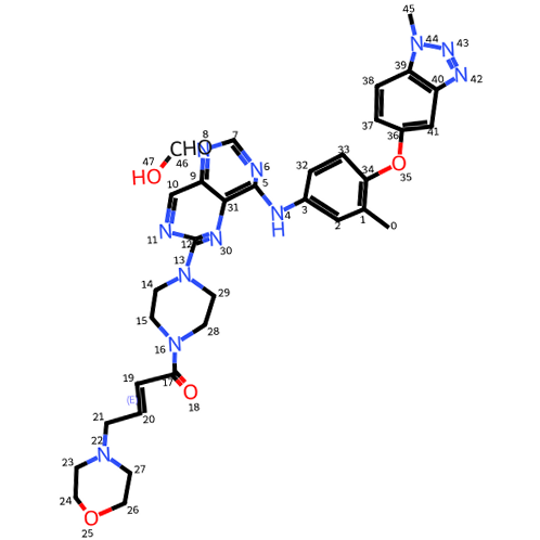 Cc1cc(Nc2ncnc3cnc(N4CCN(C(=O)/C=C/CN5CCOCC5)CC4)nc23)ccc1Oc1ccc2c(c1)nnn2C.O=CO